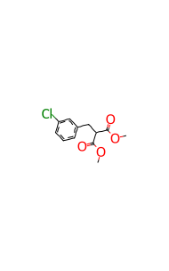 COC(=O)C(Cc1cccc(Cl)c1)C(=O)OC